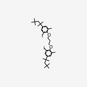 Cc1cc(C(C)(C)CC(C)(C)C)cc(I)c1OCCCOc1c(C)cc(C(C)(C)CC(C)(C)C)cc1I